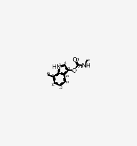 CNC(=O)Oc1c[nH]c2c(C)cccc12